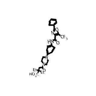 CCC(CC)(CC(=O)N1CCN(c2ccc(NC(=O)c3nc(-c4ccccc4)oc3C(F)(F)F)cc2)CC1)C(=O)O